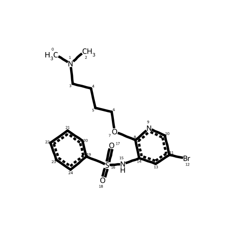 CN(C)CCCCOc1ncc(Br)cc1NS(=O)(=O)c1ccccc1